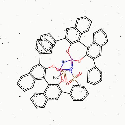 O=S(=O)(N=P1(NP2(=NS(=O)(=O)C(F)(F)F)Oc3c(-c4ccccc4)cc4ccccc4c3-c3c(c(-c4ccccc4)cc4ccccc34)O2)Oc2c(-c3ccccc3)cc3ccccc3c2-c2c(c(-c3ccccc3)cc3ccccc23)O1)C(F)(F)F